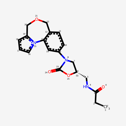 O=C(CC(F)(F)F)NC[C@H]1CN(c2ccc3c(c2)-n2cccc2COC3)C(=O)O1